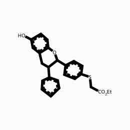 CCOC(=O)CSc1ccc(C2Oc3ccc(O)cc3CC2c2ccccc2)cc1